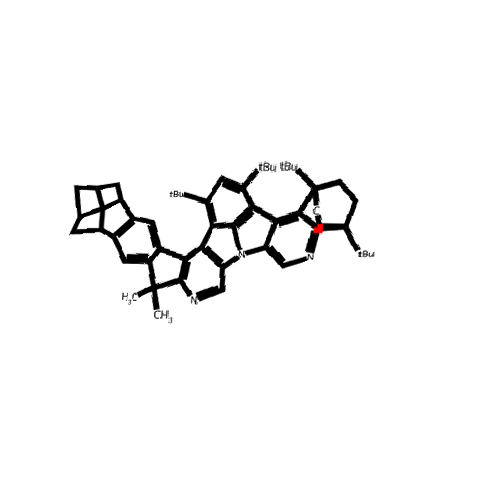 CC(C)(C)c1cc(C(C)(C)C)c2c3c4c(ncc3n3c5cnc6c(c5c1c23)-c1cc2c(cc1C6(C)C)C1CC3CC5CC2C531)C1(C(C)(C)C)CCC4(C(C)(C)C)CC1